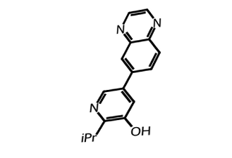 CC(C)c1ncc(-c2ccc3nccnc3c2)cc1O